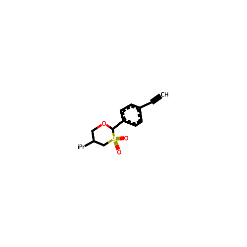 C#Cc1ccc(C2OCC(C(C)C)CS2(=O)=O)cc1